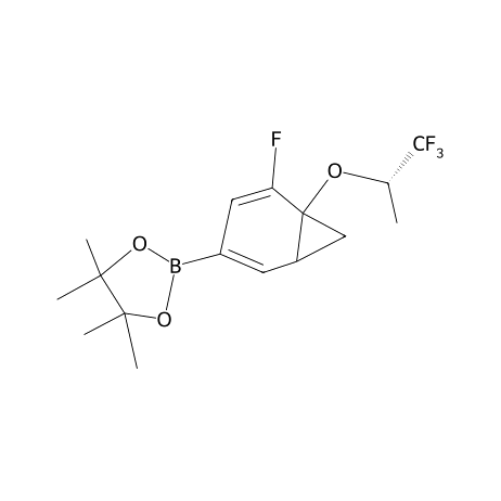 C[C@H](OC12CC1C=C(B1OC(C)(C)C(C)(C)O1)C=C2F)C(F)(F)F